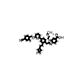 COCCn1c(Cc2ccc(-c3cccc(OCc4ccc(C#N)cc4F)n3)cc2CCC2CC(F)(F)C2)nc2ccc(C(=O)O)cc21